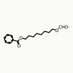 O=[C]OCCCCCCCCOC(=O)c1ccccc1